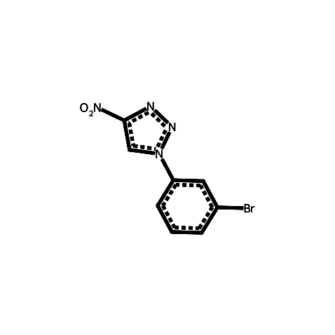 O=[N+]([O-])c1cn(-c2cccc(Br)c2)nn1